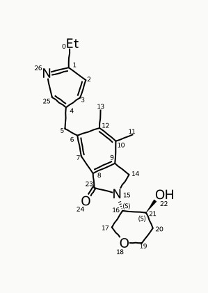 CCc1ccc(Cc2cc3c(c(C)c2C)CN([C@H]2COCC[C@@H]2O)C3=O)cn1